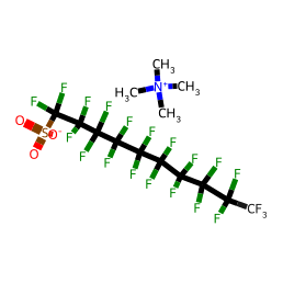 C[N+](C)(C)C.O=S(=O)([O-])C(F)(F)C(F)(F)C(F)(F)C(F)(F)C(F)(F)C(F)(F)C(F)(F)C(F)(F)C(F)(F)C(F)(F)F